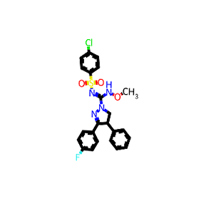 CON/C(=N\S(=O)(=O)c1ccc(Cl)cc1)N1CC(c2ccccc2)C(c2ccc(F)cc2)=N1